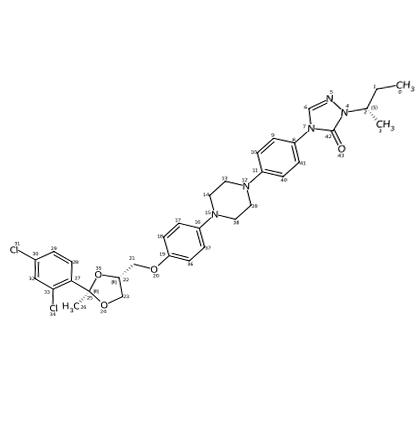 CC[C@H](C)n1ncn(-c2ccc(N3CCN(c4ccc(OC[C@@H]5CO[C@@](C)(c6ccc(Cl)cc6Cl)O5)cc4)CC3)cc2)c1=O